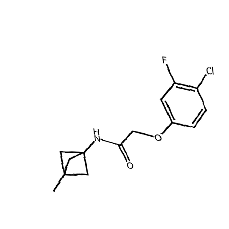 [CH2]C12CC(NC(=O)COc3ccc(Cl)c(F)c3)(C1)C2